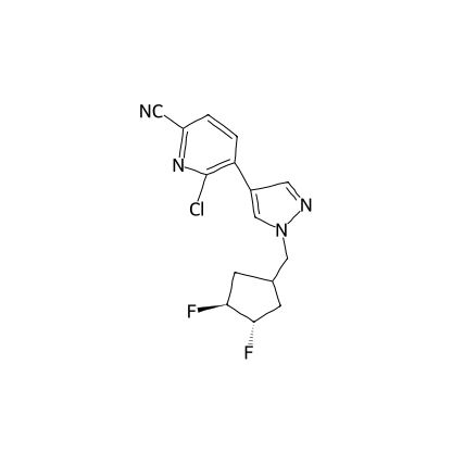 N#Cc1ccc(-c2cnn(CC3C[C@H](F)[C@@H](F)C3)c2)c(Cl)n1